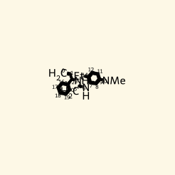 C=CC(NC(=C)Nc1cc(NC)ccc1CC)c1ccccc1